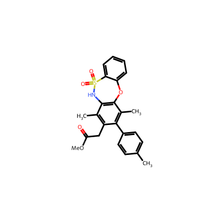 COC(=O)Cc1c(C)c2c(c(C)c1-c1ccc(C)cc1)Oc1ccccc1S(=O)(=O)N2